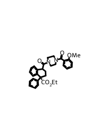 CCOC(=O)[C@]1(c2ccccc2)CCC(C(=O)N2CCN(C(=O)c3ccccc3OC)CC2)c2ccccc21